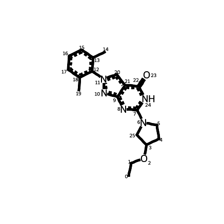 CCOC1CCN(c2nc3nn(-c4c(C)cccc4C)cc3c(=O)[nH]2)C1